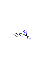 Cn1cc(-c2cc(-c3ccc(N4CCN(C(=O)OC(C)(C)C)CC4)cn3)c3c(C#N)cnn3c2)cn1